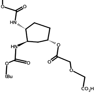 CC(C)(C)OC(=O)N[C@@H]1CC[C@H](OC(=O)COCC(=O)O)C[C@H]1NC(=O)OC(C)(C)C